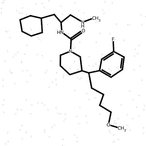 CNCC(CC1CCCCC1)NC(=O)N1CCCC(C(CCCCOC)c2cccc(F)c2)C1